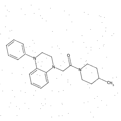 CC1CCN(C(=O)CN2CCN(c3ccccc3)c3ccccc32)CC1